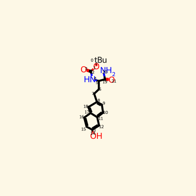 CC(C)(C)OC(=O)NC(CCc1ccc2cc(O)ccc2c1)C(N)=O